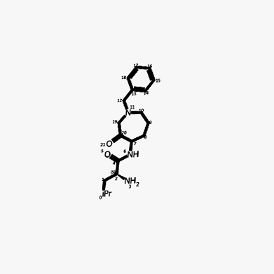 CC(C)C[C@H](N)C(=O)NC1CCCN(Cc2ccccc2)CC1=O